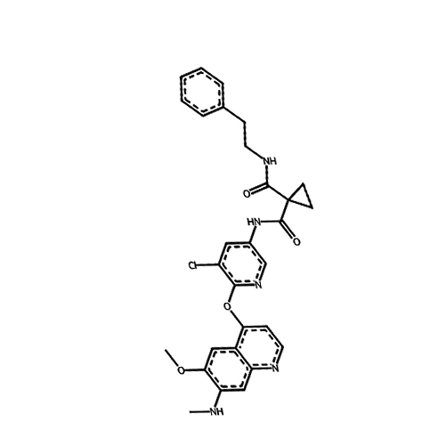 CNc1cc2nccc(Oc3ncc(NC(=O)C4(C(=O)NCCc5ccccc5)CC4)cc3Cl)c2cc1OC